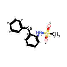 CS(=O)(=O)Nc1ccccc1[Se]c1ccccc1